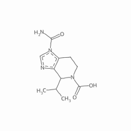 CC(C)C1c2ncn(C(N)=O)c2CCN1C(=O)O